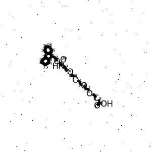 O=C(O)CCCOCCOCCOCCOCCNC(=O)OCC1c2ccccc2-c2ccccc21